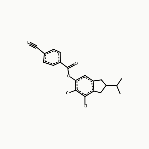 CC(C)C1Cc2cc(OC(=O)c3ccc(C#N)cc3)c(Cl)c(Cl)c2C1